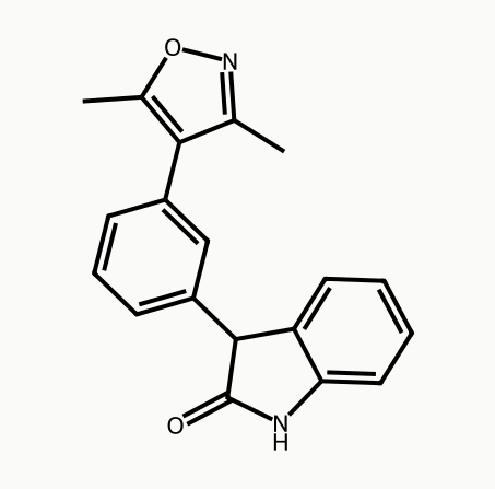 Cc1noc(C)c1-c1cccc(C2C(=O)Nc3ccccc32)c1